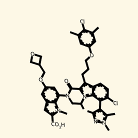 Cc1cc(OCCCc2c3n(c4c(-c5c(C)nn(C)c5C)c(Cl)ccc24)C(C)CN(c2cc(OCC4COC4)cc4cc(C(=O)O)n(C)c24)C3=O)cc(C)c1Cl